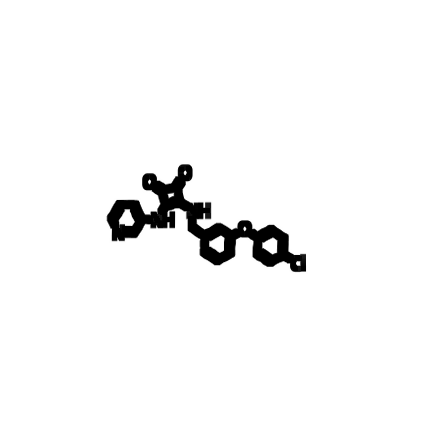 O=c1c(NCc2cccc(Oc3ccc(Cl)cc3)c2)c(Nc2cccnc2)c1=O